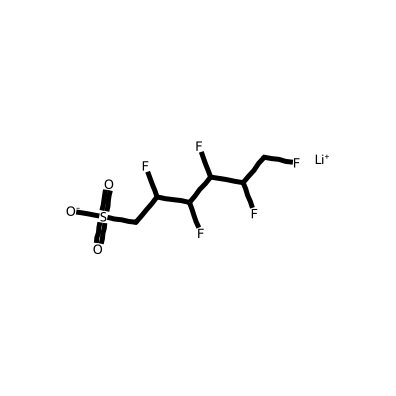 O=S(=O)([O-])CC(F)C(F)C(F)C(F)CF.[Li+]